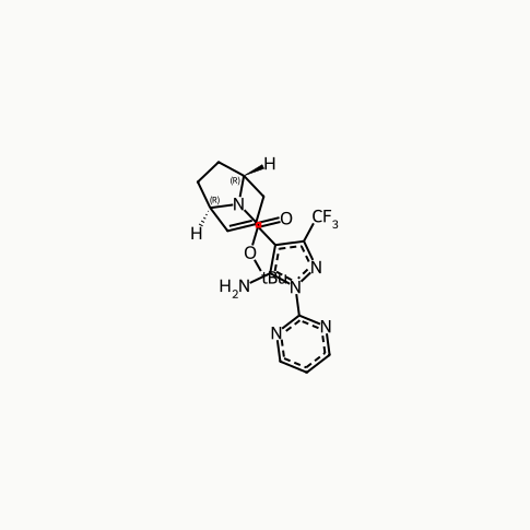 CC(C)(C)OC(=O)N1[C@@H]2CC[C@@H]1C=C(c1c(C(F)(F)F)nn(-c3ncccn3)c1N)C2